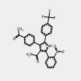 CC(=O)c1ccc(-c2c(-c3ccc(C(F)(F)F)cc3)[nH]c(-c3ccccc3[N+](=O)[O-])c2C(N)=O)cc1